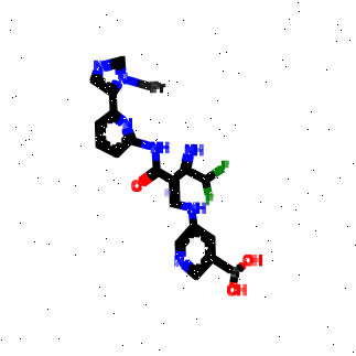 CC(C)n1cncc1-c1cccc(NC(=O)/C(=C/Nc2cncc(B(O)O)c2)C(=N)C(F)F)n1